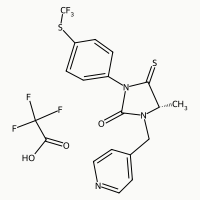 C[C@H]1C(=S)N(c2ccc(SC(F)(F)F)cc2)C(=O)N1Cc1ccncc1.O=C(O)C(F)(F)F